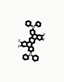 Fc1cc2c3cc(N(c4ccccc4)c4ccccc4)ccc3c3cc4c5cc(F)c(F)cc5c5cc(N(c6ccccc6)c6ccccc6)ccc5c4cc3c2cc1F